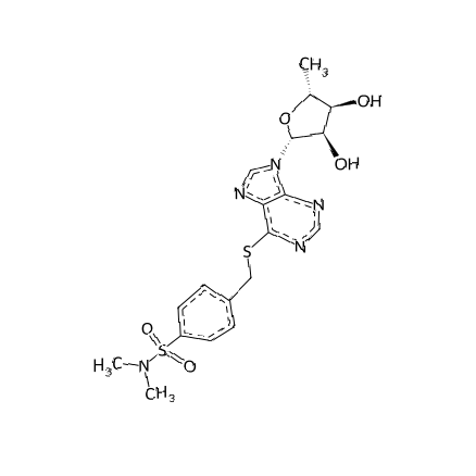 C[C@H]1O[C@@H](n2cnc3c(SCc4ccc(S(=O)(=O)N(C)C)cc4)ncnc32)[C@H](O)[C@@H]1O